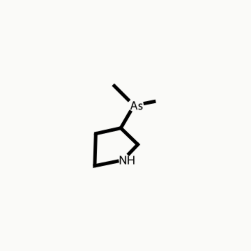 C[As](C)C1CCNC1